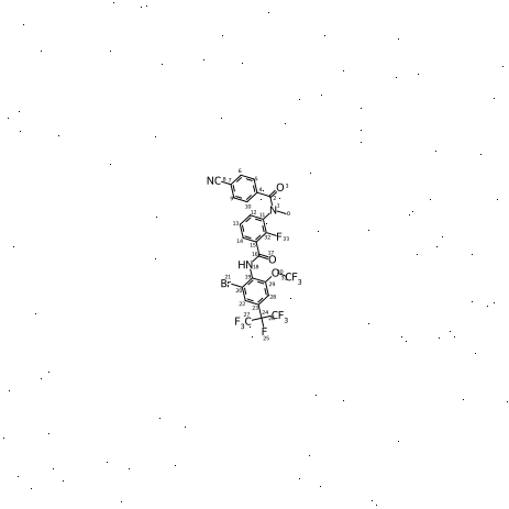 CN(C(=O)c1ccc(C#N)cc1)c1cccc(C(=O)Nc2c(Br)cc(C(F)(C(F)(F)F)C(F)(F)F)cc2OC(F)(F)F)c1F